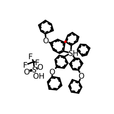 O=S(=O)(O)C(F)(F)F.c1ccc(Oc2ccc([SH](c3ccccc3)(c3ccccc3)(c3ccc(Oc4ccccc4)cc3)c3ccc(Oc4ccccc4)cc3)cc2)cc1